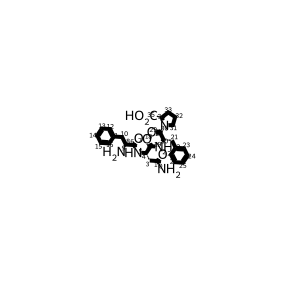 NC(=O)C[C@H](NC(=O)[C@@H](N)Cc1ccccc1)C(=O)N[C@@H](Cc1ccccc1)C(=O)N1CCC[C@H]1C(=O)O